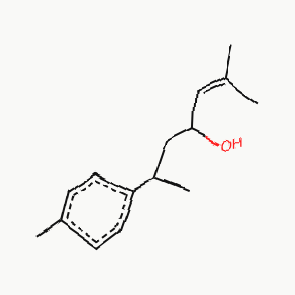 CC(C)=CC(O)CC(C)c1ccc(C)cc1